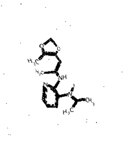 CC1=C(/C=C(\C)Nc2ncccc2N(I)C(C)C)OCO1